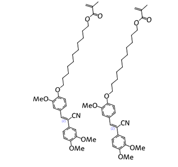 C=C(C)C(=O)OCCCCCCCCCCCOc1ccc(/C=C(\C#N)c2ccc(OC)c(OC)c2)cc1OC.C=C(C)C(=O)OCCCCCCCCCCCOc1ccc(/C=C(\C#N)c2ccc(OC)c(OC)c2)cc1OC